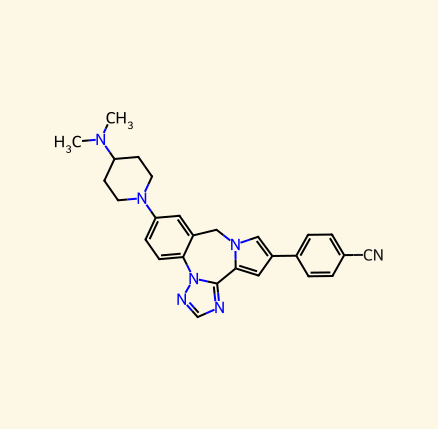 CN(C)C1CCN(c2ccc3c(c2)Cn2cc(-c4ccc(C#N)cc4)cc2-c2ncnn2-3)CC1